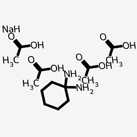 CC(=O)O.CC(=O)O.CC(=O)O.CC(=O)O.NC1(N)CCCCC1.[NaH]